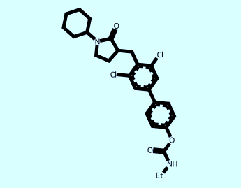 CCNC(=O)Oc1ccc(-c2cc(Cl)c(CC3CCN(C4CCCCC4)C3=O)c(Cl)c2)cc1